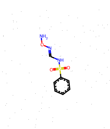 NON=CNS(=O)(=O)c1ccccc1